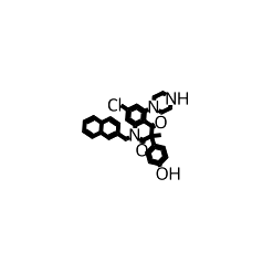 CC1(c2ccc(O)cc2)C(=O)c2c(N3CCNCC3)cc(Cl)cc2N(CC2=CC3C=CC=CC3C=C2)C1=O